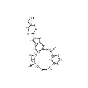 O=C1Nc2cc3cn([C@H]4CC[C@H](CO)CC4)nc3cc2N2CC[C@H](C2)OCCOc2cccc1c2